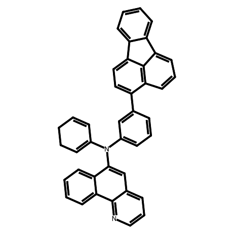 C1=CC(N(c2cccc(-c3ccc4c5c(cccc35)-c3ccccc3-4)c2)c2cc3cccnc3c3ccccc23)=CCC1